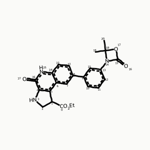 CCOC(=O)C1CNc2c1c1cc(-c3cccc(N4C(=O)OC4(C)C)c3)ccc1[nH]c2=O